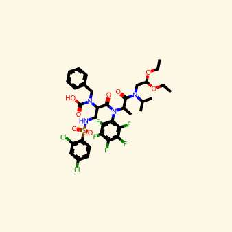 CCOC(CN(C(=O)C(C)N(C(=O)C(CNS(=O)(=O)c1ccc(Cl)cc1Cl)N(Cc1ccccc1)C(=O)O)c1c(F)c(F)c(F)c(F)c1F)C(C)C)OCC